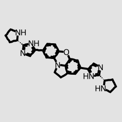 c1cc2c(cc1-c1cnc([C@@H]3CCCN3)[nH]1)N1CCc3cc(-c4cnc([C@@H]5CCCN5)[nH]4)cc(c31)O2